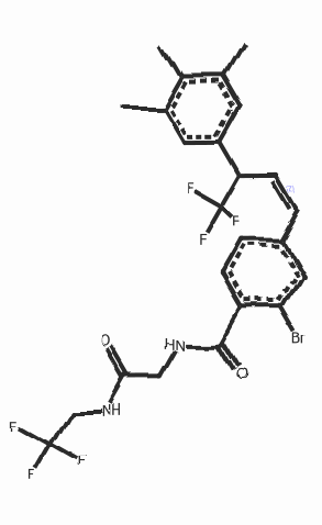 Cc1cc(C(/C=C\c2ccc(C(=O)NCC(=O)NCC(F)(F)F)c(Br)c2)C(F)(F)F)cc(C)c1C